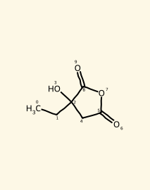 CCC1(O)CC(=O)OC1=O